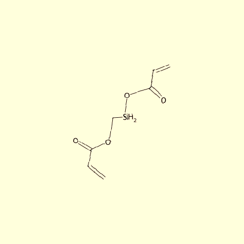 C=CC(=O)OC[SiH2]OC(=O)C=C